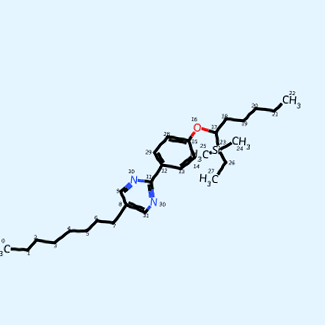 CCCCCCCCc1cnc(-c2ccc(OC(CCCCC)[Si](C)(C)CC)cc2)nc1